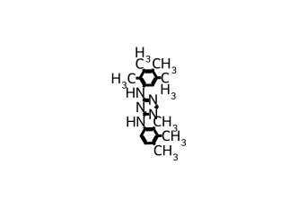 Cc1ccc(Nc2ncnc(Nc3cc(C)c(C)c(C)c3C)n2)c(C)c1C